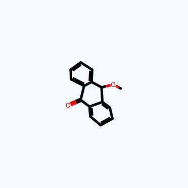 COC1c2ccccc2C(=O)c2ccccc21